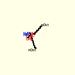 CCCCCCCCC=CCCCCCCCC(=O)OC(CN)C(OC(=O)CCCCCCCC=CCCCCCCCC)C(N)CCO.I